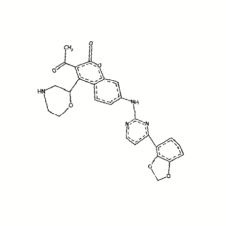 CC(=O)c1c(C2CNCCO2)c2ccc(Nc3nccc(-c4cccc5c4OCO5)n3)cc2oc1=O